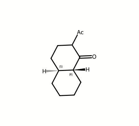 CC(=O)C1CC[C@@H]2CCCC[C@H]2C1=O